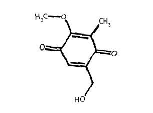 COC1=C(C)C(=O)C(CO)=CC1=O